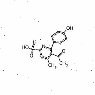 CC(=O)c1c(C)nc(S(=O)(=O)O)nc1-c1ccc(O)cc1